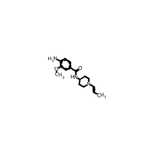 CC=CN1CCC(NC(=O)c2ccc(N)c(OC)c2)CC1